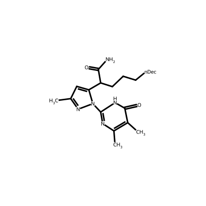 CCCCCCCCCCCCCC(C(N)=O)c1cc(C)nn1-c1nc(C)c(C)c(=O)[nH]1